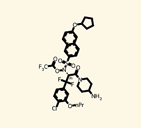 CCCOc1cc(C(F)(F)[C@@H](C(=O)N2CCC(N)CC2)N(OC(=O)C(F)(F)F)S(=O)(=O)c2ccc3cc(OC4CCCC4)ccc3c2)ccc1Cl